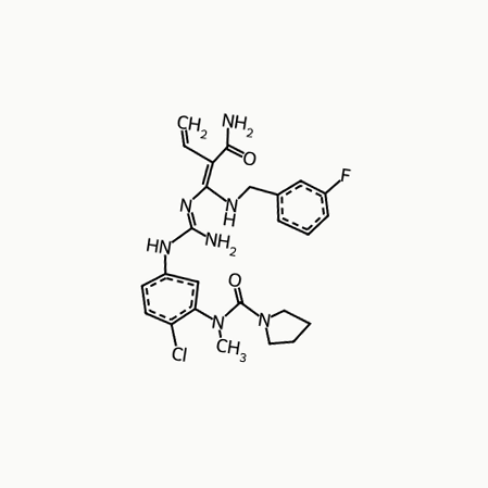 C=C/C(C(N)=O)=C(\N=C(/N)Nc1ccc(Cl)c(N(C)C(=O)N2CCCC2)c1)NCc1cccc(F)c1